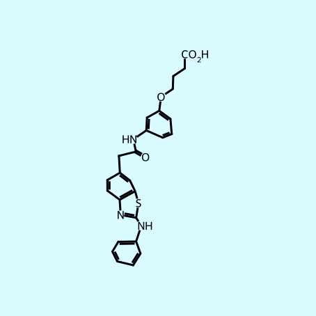 O=C(O)CCCOc1cccc(NC(=O)Cc2ccc3nc(Nc4ccccc4)sc3c2)c1